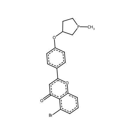 CP1CCC(Oc2ccc(-c3cc(=O)c4c(Br)cccc4o3)cc2)C1